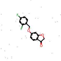 O=C1COc2cc(OCc3ccc(F)cc3F)ccc21